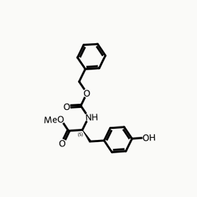 COC(=O)[C@H](Cc1ccc(O)cc1)NC(=O)OCc1ccccc1